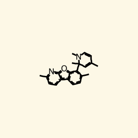 CC1=CC(C)(c2c(C)ccc3c2oc2nc(C)ccc23)N(C)C=C1